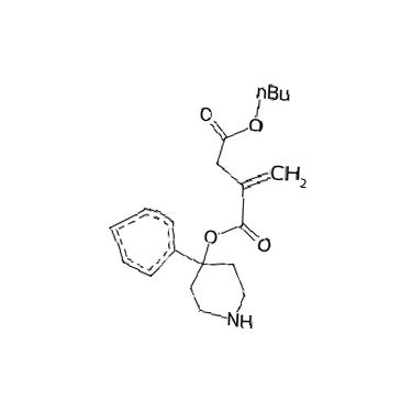 C=C(CC(=O)OCCCC)C(=O)OC1(c2ccccc2)CCNCC1